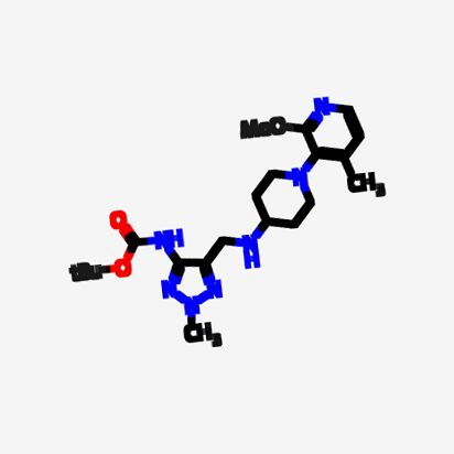 COc1nccc(C)c1N1CCC(NCc2nn(C)nc2NC(=O)OC(C)(C)C)CC1